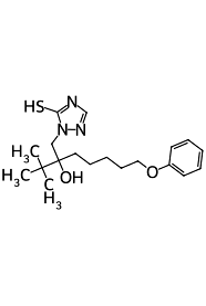 CC(C)(C)C(O)(CCCCCOc1ccccc1)Cn1ncnc1S